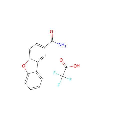 NC(=O)c1ccc2oc3ccccc3c2c1.O=C(O)C(F)(F)F